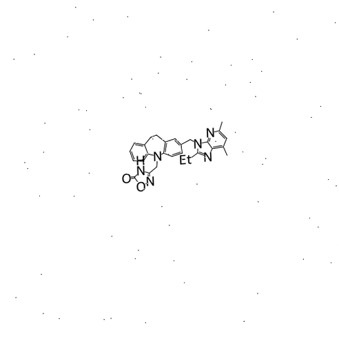 CCc1nc2c(C)cc(C)nc2n1Cc1ccc2c(c1)CCc1ccccc1N2Cc1noc(=O)[nH]1